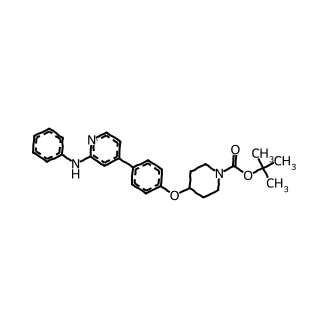 CC(C)(C)OC(=O)N1CCC(Oc2ccc(-c3ccnc(Nc4ccccc4)c3)cc2)CC1